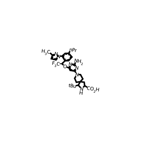 CCCc1ccc([C@@H](Oc2cc(N3CCC4(CC3)CC(C(=O)O)NC4C(C)(C)C)nc(N)n2)C(F)(F)F)c(-n2ccc(C)n2)c1